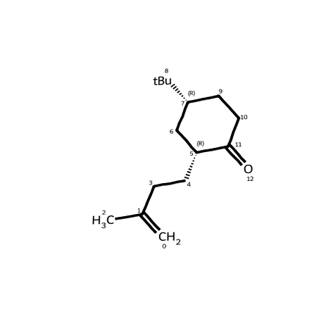 C=C(C)CC[C@@H]1C[C@H](C(C)(C)C)CCC1=O